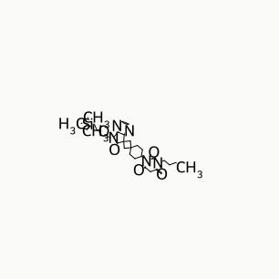 CCCCN1C(=O)CC(=O)N(C2CCC3(CC2)CC2(C3)C(=O)N(COCC[Si](C)(C)C)c3nccnc32)C1=O